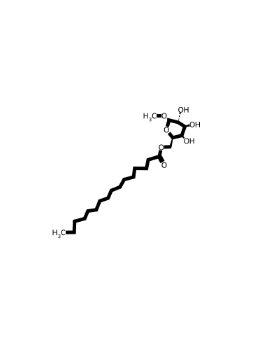 CCCCCCCCCCCCCCCC(=O)OC[C@H]1O[C@H](OC)[C@H](O)[C@@H](O)[C@@H]1O